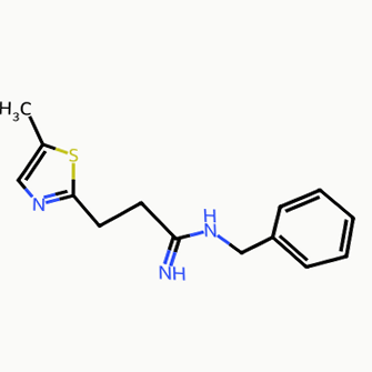 Cc1cnc(CCC(=N)NCc2ccccc2)s1